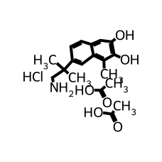 CC(=O)O.CC(=O)O.Cc1c(O)c(O)cc2ccc(C(C)(C)CN)cc12.Cl